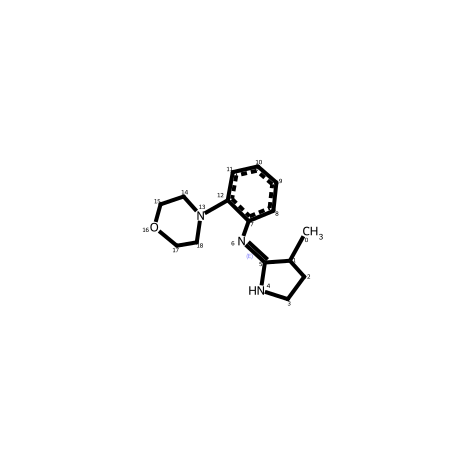 CC1CCN/C1=N/c1ccccc1N1CCOCC1